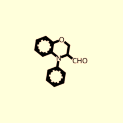 O=CC1COc2ccccc2N1c1ccccc1